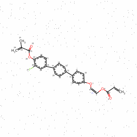 C=CC(=O)O/C=C\Oc1ccc(-c2ccc(-c3ccc(OC(=O)C(=C)C)c(F)c3)cc2)cc1